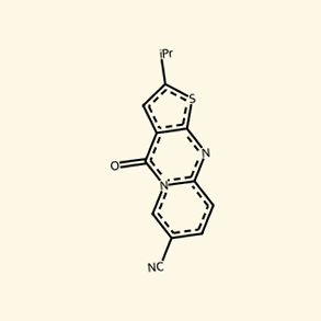 CC(C)c1cc2c(=O)n3cc(C#N)ccc3nc2s1